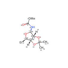 CC[C@H]1O[C@@H](NC(=O)OC)[C@@H]2OC(C)(C)O[C@@H]21